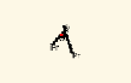 CC(C)CCCCCCCCCC(OC(CCCCCCCCCC(C)C)C1CO1)C1CO1